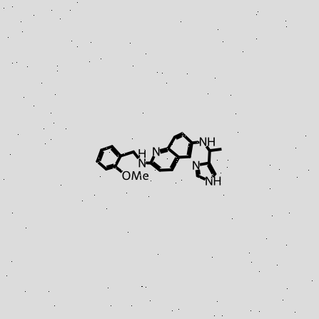 COc1ccccc1CNc1ccc2cc(NC(C)c3c[nH]cn3)ccc2n1